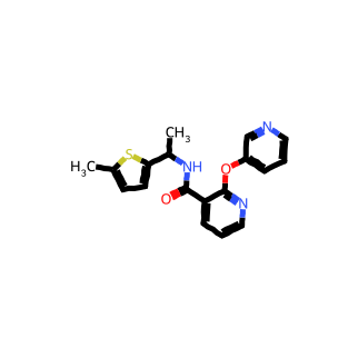 Cc1ccc(C(C)NC(=O)c2cccnc2Oc2cccnc2)s1